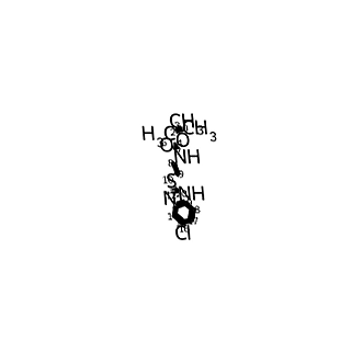 CC(C)(C)OC(=O)NCCSc1nc2cc(Cl)ccc2[nH]1